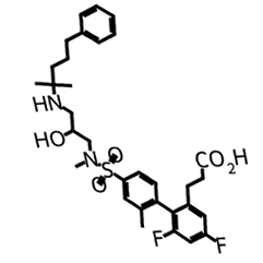 Cc1cc(S(=O)(=O)N(C)CC(O)CNC(C)(C)CCCc2ccccc2)ccc1-c1c(F)cc(F)cc1CCC(=O)O